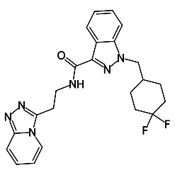 O=C(NCCc1nnc2ccccn12)c1nn(CC2CCC(F)(F)CC2)c2ccccc12